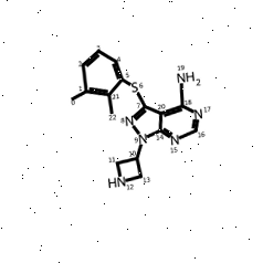 Cc1cccc(Sc2nn(C3CNC3)c3ncnc(N)c23)c1C